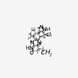 CCc1cc(=O)[nH]c2nc(-c3ccccc3)c(-c3cc(Cl)c4[nH]ncc4c3)nc12